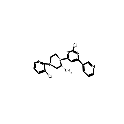 C[C@@H]1CN(c2ncccc2Cl)CCN1c1cc(-c2cccnc2)nc(Cl)n1